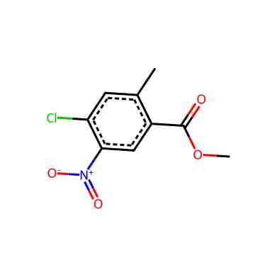 COC(=O)c1cc([N+](=O)[O-])c(Cl)cc1C